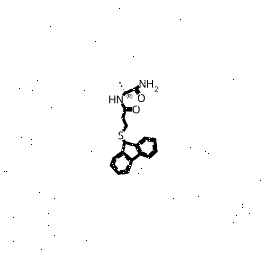 C[C@@H](NC(=O)CCSC1c2ccccc2-c2ccccc21)C(N)=O